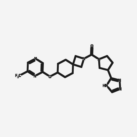 O=C(N1CCC(c2nnc[nH]2)C1)N1CC2(CCC(Oc3cncc(C(F)(F)F)n3)CC2)C1